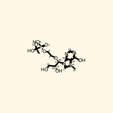 CCC(C)(O)P(=O)(O)OCCO[C@H]([C@H](O)CO)n1c[n+](C)c2c(O)ncnc21